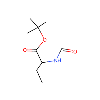 CCC(NC=O)C(=O)OC(C)(C)C